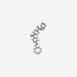 O=C(Nc1cccnc1)N1CCN(C(=O)c2ccc(OCC3CCCCCCC3)cc2)CC1